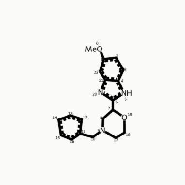 COc1ccc2[nH]c(C3CN(Cc4ccccc4)CCO3)nc2c1